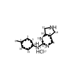 Cc1ccc(Nc2ncc3c(n2)CNC3)cc1.Cl